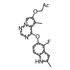 CC(=O)COc1cn2ncnc(Oc3ccc4[nH]c(C)cc4c3F)c2c1C